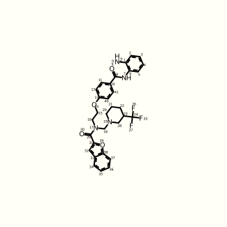 Nc1ccccc1NC(=O)c1ccc(OCCN(CN2CCCC(C(F)(F)F)C2)C(=O)c2cc3ccccc3o2)cc1